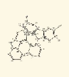 C=Cc1c(C)cc2sc3cccc4c5ccc[n+](C6c7cc(C)c(C)cc7-c7cc(C)c(C)c[n+]76)c5c1c2c34